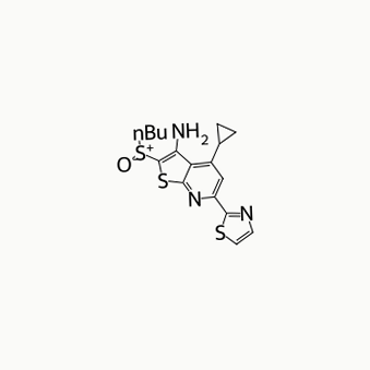 CCCC[S+]([O-])c1sc2nc(-c3nccs3)cc(C3CC3)c2c1N